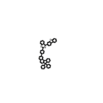 c1ccc(C2(c3ccccc3)c3ccccc3-c3c2ccc2ccc(-c4ccc(-c5nc(-c6ccc7c(c6)sc6ccccc67)c6ccccc6n5)cc4)cc32)cc1